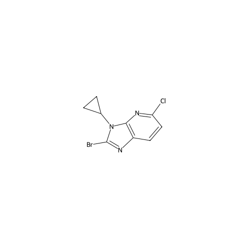 Clc1ccc2nc(Br)n(C3CC3)c2n1